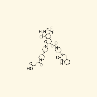 Nc1c(Cl)cc(C[C@@H](OC(=O)N2CCC(N3CCc4ccccc4NC3=O)CC2)C(=O)N2CCN(C3CCN(C(=O)CCC(=O)O)CC3)CC2)cc1C(F)(F)F